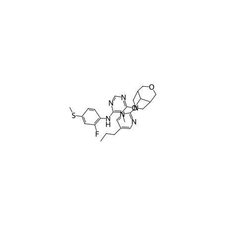 CCCc1cnc(N2CC3COCC(C2)C3Oc2ncnc(Nc3ccc(SC)cc3F)c2C)nc1